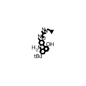 CC(C)(C)[C@H]1C=C(N)c2c(ccc(O)c2C2CCC(/C=N\C(=O)c3cnn(CC4CC4)c3)CC2)C1